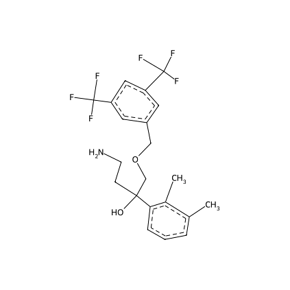 Cc1cccc(C(O)(CCN)COCc2cc(C(F)(F)F)cc(C(F)(F)F)c2)c1C